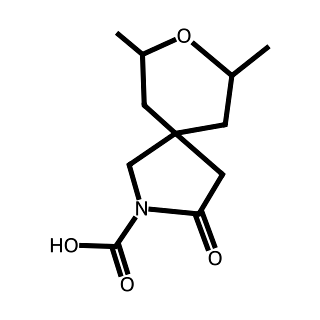 CC1CC2(CC(=O)N(C(=O)O)C2)CC(C)O1